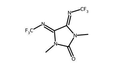 CN1C(=O)N(C)C(=NC(F)(F)F)C1=NC(F)(F)F